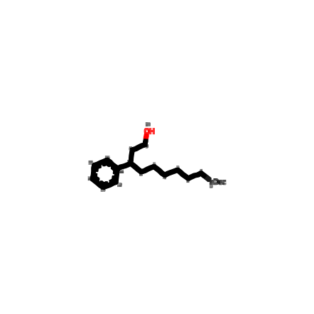 CCCCCCCCCCCCCCCCC(CCO)c1ccccc1